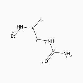 CCNC(C)CNC(N)=O